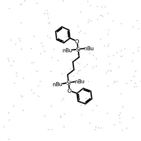 CCCC[Si](CCCC)(CCCC[Si](CCCC)(CCCC)Oc1ccccc1)Oc1ccccc1